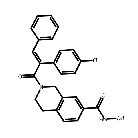 O=C(NO)c1ccc2c(c1)CN(C(=O)C(=Cc1ccccc1)c1ccc(Cl)cc1)CC2